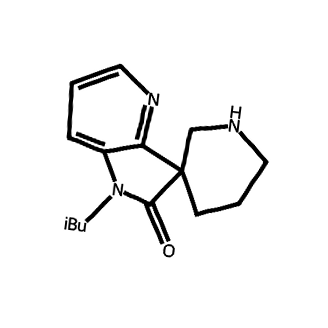 CCC(C)N1C(=O)C2(CCCNC2)c2ncccc21